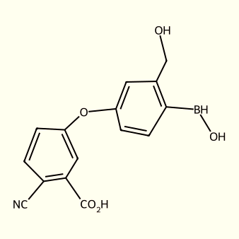 N#Cc1ccc(Oc2ccc(BO)c(CO)c2)cc1C(=O)O